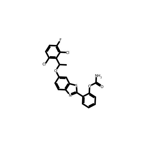 CC(Oc1ccc2nc(-c3ccccc3OC(N)=O)sc2c1)c1c(Cl)ccc(F)c1Cl